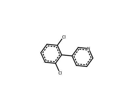 Clc1[c]ccc(Cl)c1-c1cccnc1